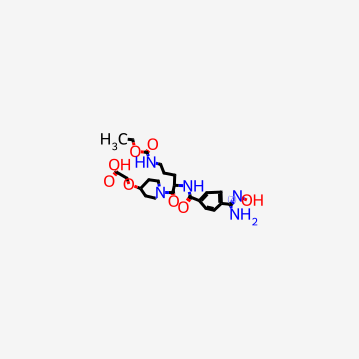 CCOC(=O)NCCCC(NC(=O)c1ccc(/C(N)=N/O)cc1)C(=O)N1CCC(OCC(=O)O)CC1